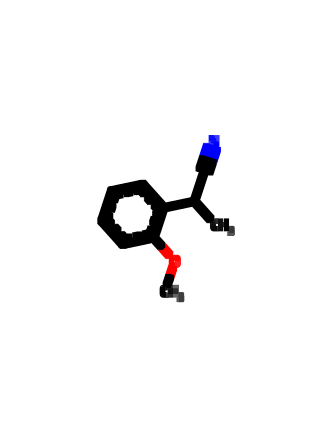 COc1ccccc1C(C)C#N